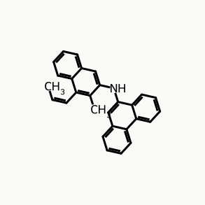 C/C=C\c1c(C)c(Nc2cc3ccccc3c3ccccc23)cc2ccccc12